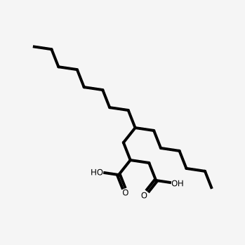 CCCCCCCCC(CCCCCC)CC(CC(=O)O)C(=O)O